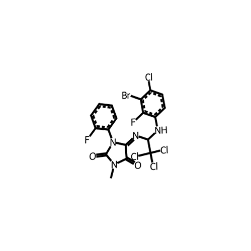 CN1C(=O)C(=NC(Nc2ccc(Cl)c(Br)c2F)C(Cl)(Cl)Cl)N(c2ccccc2F)C1=O